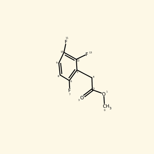 COC(=O)Cc1c(F)ccc(F)c1F